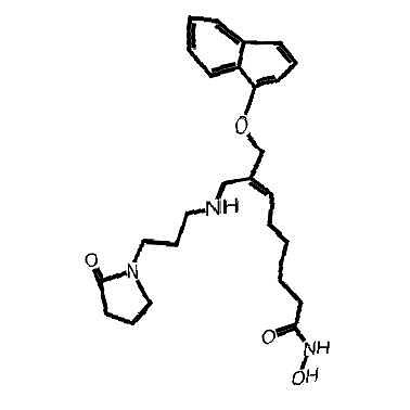 O=C(CCCCC=C(CNCCCN1CCCC1=O)COc1cccc2ccccc12)NO